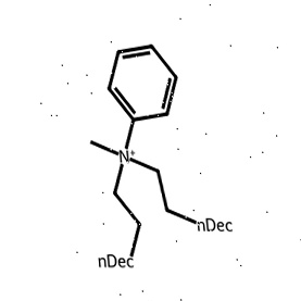 CCCCCCCCCCCC[N+](C)(CCCCCCCCCCCC)c1ccccc1